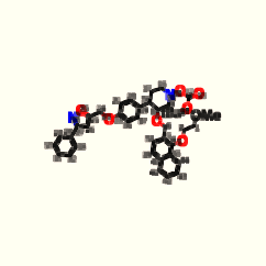 COCCOc1c(COC2CN(OC(=O)OC(C)(C)C)CCC2c2ccc(OCc3cc(-c4ccccc4)no3)cc2)ccc2ccccc12